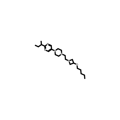 CCCCCOC1CN(CCN2CCN(c3cnc(C(C)CC)nc3)CC2)C1